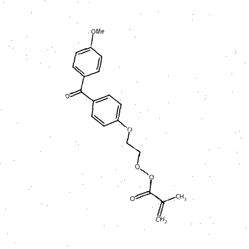 C=C(C)C(=O)OOCCOc1ccc(C(=O)c2ccc(OC)cc2)cc1